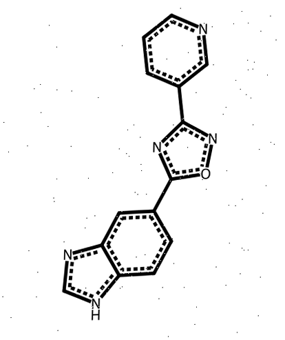 c1cncc(-c2noc(-c3ccc4[nH]cnc4c3)n2)c1